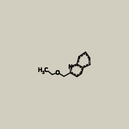 CCOCc1ccc2ccccc2n1